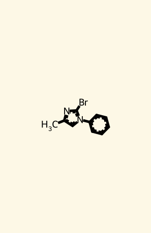 Cc1cn(-c2ccccc2)c(Br)n1